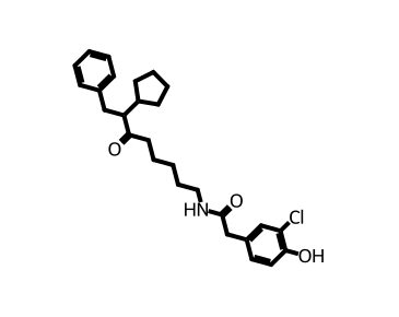 O=C(Cc1ccc(O)c(Cl)c1)NCCCCCC(=O)C(Cc1ccccc1)C1CCCC1